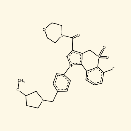 COC1CCN(Cc2ccc(-n3nc(C(=O)N4CCOCC4)c4c3-c3cccc(F)c3S(=O)(=O)C4)cc2)C1